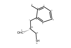 Cc1ccccc1C[C@@H](C=O)CS